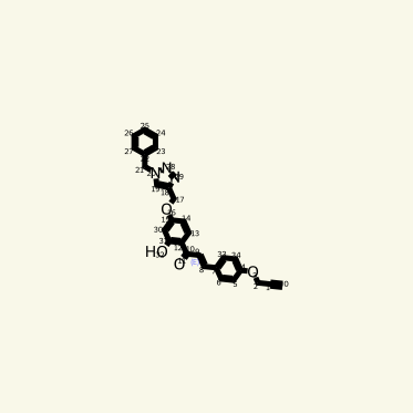 C#CCOc1ccc(/C=C/C(=O)c2ccc(OCc3cn(Cc4ccccc4)nn3)cc2O)cc1